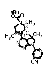 C[C@@H]1CN(c2ncnc3c2C(C)(C(=O)O)CN3c2cc(C#N)ccn2)[C@@H](C)CN1C(=O)OC(C)(C)C